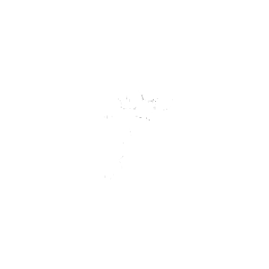 CCC=CCCOc1nc2n(c(=O)c1N(C)C)CCS2